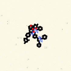 Cc1ccc(-c2ccc3c4ccc(-c5ccc(C)cc5C)cc4n(-c4ccc(-c5cc(-c6ccccc6)nc(-c6ccccc6)n5)cc4-c4nc(-c5ccccc5)nc(-c5ccccc5)n4)c3c2)c(C)c1